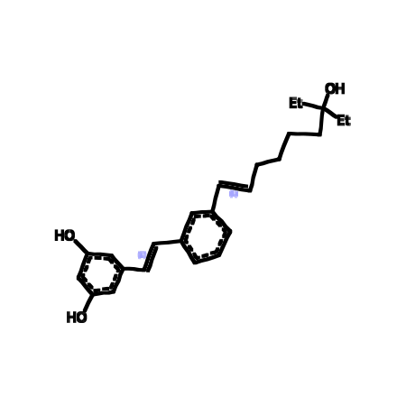 CCC(O)(CC)CCCC/C=C/c1cccc(/C=C/c2cc(O)cc(O)c2)c1